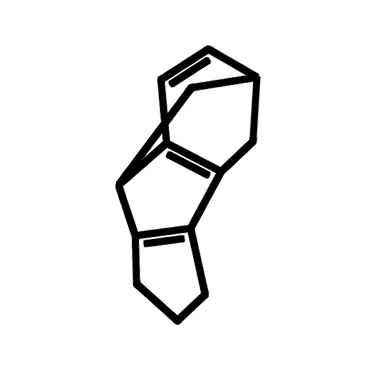 C1=CC2CC3=C1C(C2)C1=C3CCC1